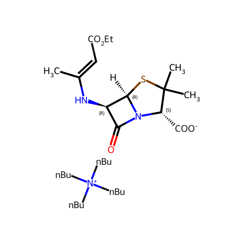 CCCC[N+](CCCC)(CCCC)CCCC.CCOC(=O)C=C(C)N[C@@H]1C(=O)N2[C@@H]1SC(C)(C)[C@@H]2C(=O)[O-]